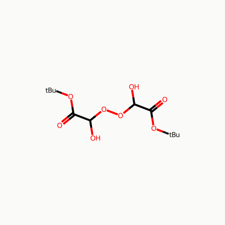 CC(C)(C)OC(=O)C(O)OOC(O)C(=O)OC(C)(C)C